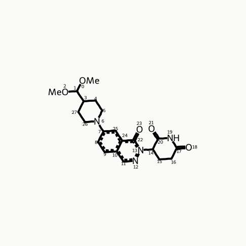 COC(OC)C1CCN(c2ccc3cnn(C4CCC(=O)NC4=O)c(=O)c3c2)CC1